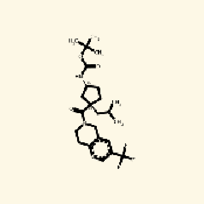 CC(C)C[C@]1(C(=O)N2CCc3ncc(C(F)(F)F)cc3C2)CC[C@@H](NC(=O)OC(C)(C)C)C1